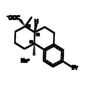 CC(C)c1ccc2c(c1)CC[C@H]1[C@@](C)(C(=O)[O-])CCC[C@]21C.[Na+]